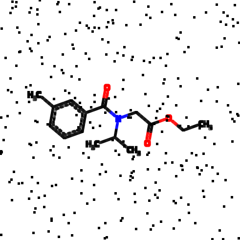 CCOC(=O)CN(C(=O)c1cccc(C)c1)C(C)C